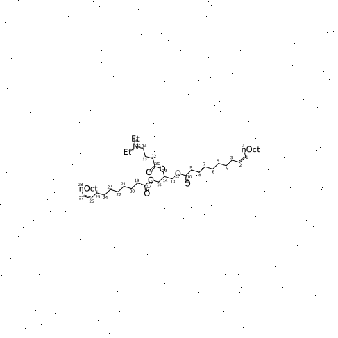 CCCCCCCC/C=C\CCCCCCCC(=O)OCC(COC(=O)CCCCCCC/C=C\CCCCCCCC)OC(=O)CCCN(CC)CC